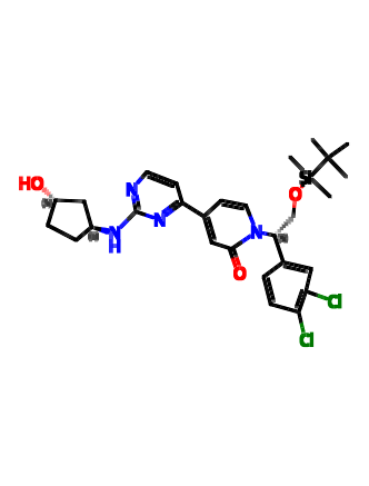 CC(C)(C)[Si](C)(C)OC[C@H](c1ccc(Cl)c(Cl)c1)n1ccc(-c2ccnc(N[C@H]3CC[C@H](O)C3)n2)cc1=O